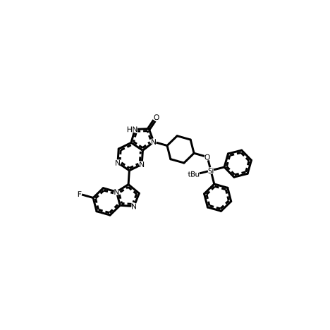 CC(C)(C)[Si](OC1CCC(n2c(=O)[nH]c3cnc(-c4cnc5ccc(F)cn45)nc32)CC1)(c1ccccc1)c1ccccc1